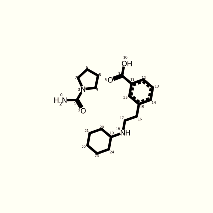 NC(=O)N1CCCC1.O=C(O)c1cccc(CCNC2CCCCC2)c1